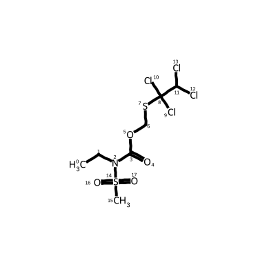 CCN(C(=O)OCSC(Cl)(Cl)C(Cl)Cl)S(C)(=O)=O